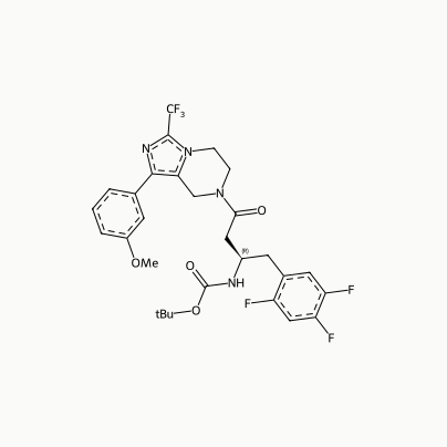 COc1cccc(-c2nc(C(F)(F)F)n3c2CN(C(=O)C[C@@H](Cc2cc(F)c(F)cc2F)NC(=O)OC(C)(C)C)CC3)c1